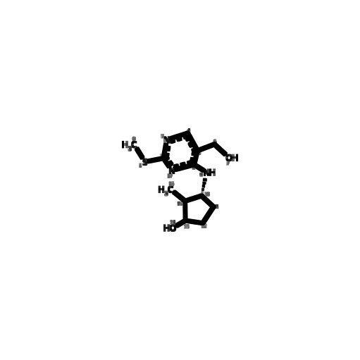 CSc1ncc(CO)c(N[C@@H]2CCC(O)C2C)n1